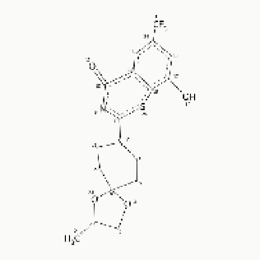 C[C@H]1COC2(CCN(c3nc(=O)c4cc(C(F)(F)F)cc(O)c4s3)CC2)O1